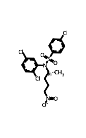 C[C@H](CCC[N+](=O)[O-])N(c1cc(Cl)ccc1Cl)S(=O)(=O)c1ccc(Cl)cc1